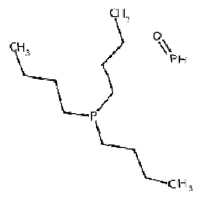 CCCCP(CCCC)CCCC.O=P